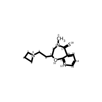 CN1CC(CCN2CCC2)Oc2ncccc2C1=S